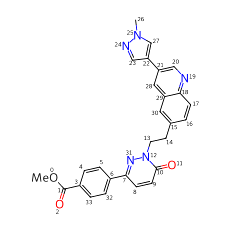 COC(=O)c1ccc(-c2ccc(=O)n(CCc3ccc4ncc(-c5cnn(C)c5)cc4c3)n2)cc1